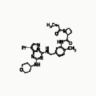 C=CC(=O)N1CCC1C(=O)Nc1cc(CNc2nc(NC3CCOCC3)nc3c(C(C)C)cnn23)ccc1C